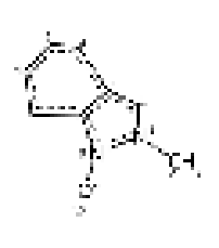 Cn1cc2ccccc2[n+]1[O-]